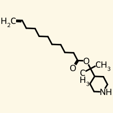 C=CCCCCCCCCC(=O)OC(C)(C)C1CCNCC1